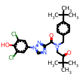 CC(C)(C)C(=O)CN(Cc1ccc(C(C)(C)C)cc1)C(=O)c1ncn(-c2cc(Cl)c(O)c(Cl)c2)n1